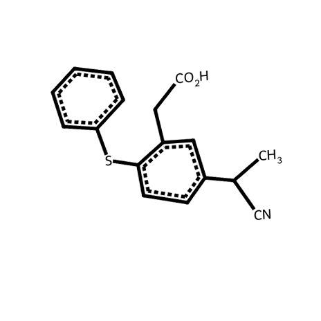 CC(C#N)c1ccc(Sc2ccccc2)c(CC(=O)O)c1